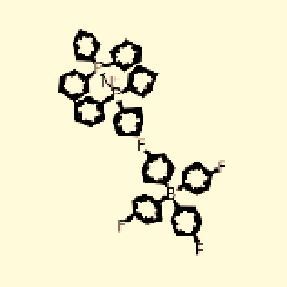 Fc1ccc([B-](c2ccc(F)cc2)(c2ccc(F)cc2)c2ccc(F)cc2)cc1.c1ccc(P(=[N+]=P(c2ccccc2)(c2ccccc2)c2ccccc2)(c2ccccc2)c2ccccc2)cc1